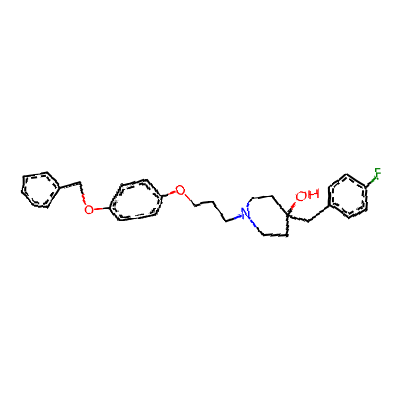 OC1(Cc2ccc(F)cc2)CCN(CCCOc2ccc(OCc3ccccc3)cc2)CC1